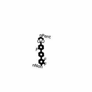 CCCCCCCCCc1ccc(-c2ccc(-c3ccc(C4OCC(CCCCC)CO4)cc3F)cc2)c(F)c1F